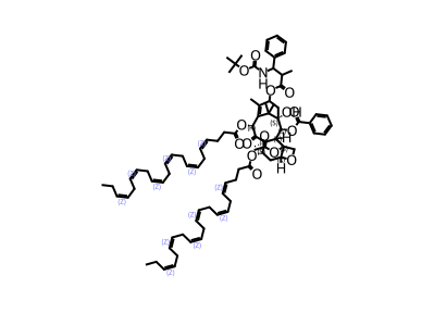 CC/C=C\C/C=C\C/C=C\C/C=C\C/C=C\C/C=C\CCC(=O)O[C@H]1C(=O)[C@]2(C)[C@@H](OC(=O)CC/C=C\C/C=C\C/C=C\C/C=C\C/C=C\C/C=C\CC)C[C@H]3OC[C@@]3(OC(C)=O)[C@H]2[C@H](OC(=O)c2ccccc2)[C@]2(O)CC(OC(=O)C(C)C(NC(=O)OC(C)(C)C)c3ccccc3)C(C)=C1C2(C)C